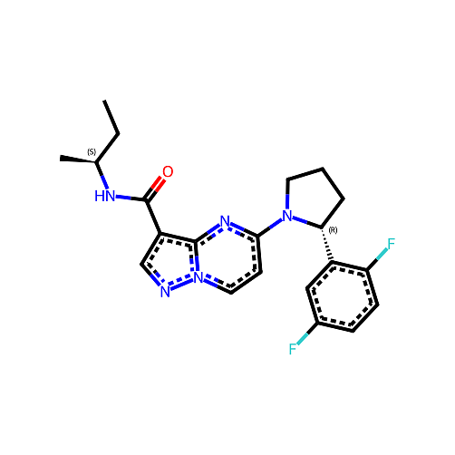 CC[C@H](C)NC(=O)c1cnn2ccc(N3CCC[C@@H]3c3cc(F)ccc3F)nc12